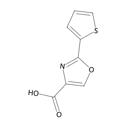 O=C(O)c1coc(-c2cccs2)n1